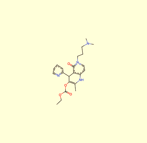 CCOC(=O)OC1=C(C)Nc2ccn(CCCN(C)C)c(=O)c2C1c1ccccn1